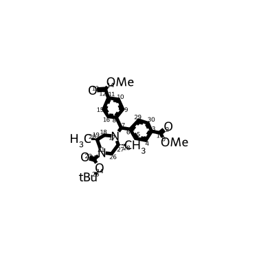 COC(=O)c1ccc(C(c2ccc(C(=O)OC)cc2)N2C[C@H](C)N(C(=O)OC(C)(C)C)C[C@H]2C)cc1